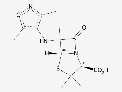 Cc1noc(C)c1NC1(C)C(=O)N2[C@@H](C(=O)O)C(C)(C)S[C@@H]21